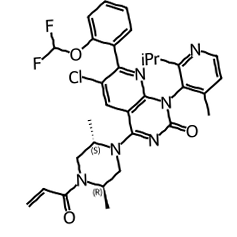 C=CC(=O)N1C[C@H](C)N(c2nc(=O)n(-c3c(C)ccnc3C(C)C)c3nc(-c4ccccc4OC(F)F)c(Cl)cc23)C[C@H]1C